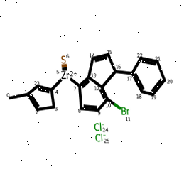 CC1=CC[C]([Zr+2](=[S])[c]2ccc(Br)c3c2C=CC3c2ccccc2)=C1.[Cl-].[Cl-]